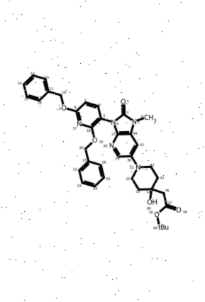 Cn1c(=O)n(-c2ccc(OCc3ccccc3)nc2OCc2ccccc2)c2ncc(N3CCC(O)(CC(=O)OC(C)(C)C)CC3)cc21